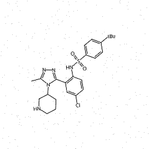 Cc1nnc(-c2cc(Cl)ccc2NS(=O)(=O)c2ccc(C(C)(C)C)cc2)n1C1CCCNC1